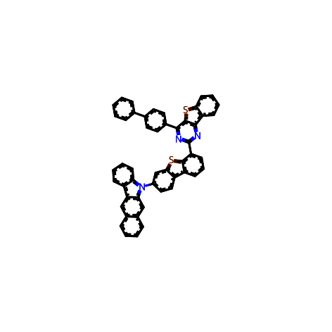 c1ccc(-c2ccc(-c3nc(-c4cccc5c4sc4cc(-n6c7ccccc7c7cc8ccccc8cc76)ccc45)nc4c3sc3ccccc34)cc2)cc1